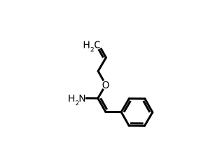 C=CCOC(N)=Cc1ccccc1